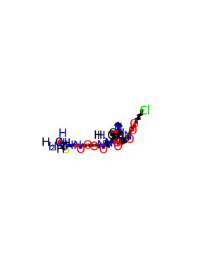 C=C1N[C@H]2[C@H](CS[C@H]2CCCCNC(=O)CCOCCOCCNC(=O)C2C[N+](=C3C=CC4=C(c5cc(C(=O)NCCOCCOCCCCCCCl)ccc5C(=O)[O-])c5ccc(N6CCC6)cc5[Si](C)(C)C4=C3)C2)N1